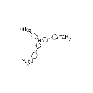 C=Cc1ccc(-c2ccc(N(c3ccc(CCCCCC)cc3)c3ccc(-c4ccc(C=C)cc4)cc3)cc2)cc1